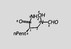 CCCCC[C@H](CN(O)C=O)C(N)=O